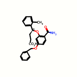 Cc1ccccc1[C@H](CCC(=O)O)Oc1cc(OCc2ccccc2)ccc1C(N)=O